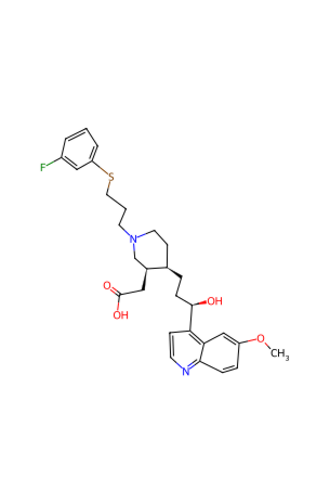 COc1ccc2nccc([C@H](O)CC[C@@H]3CCN(CCCSc4cccc(F)c4)C[C@@H]3CC(=O)O)c2c1